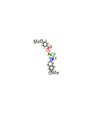 CCN(CCCCOC(=O)c1ccc(OC)cc1)C1CCc2cc(OC)ccc2C1.Cl